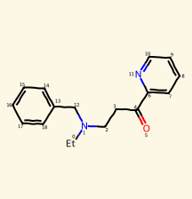 CCN(CCC(=O)c1ccccn1)Cc1ccccc1